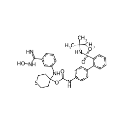 CC(C)(C)NS(=O)(=O)c1ccccc1-c1ccc(NC(=O)OC2(Nc3cccc(C(=N)NO)c3)CCSCC2)cc1